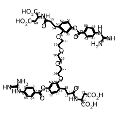 N=C(N)Nc1ccc(C(=O)Oc2ccc(CCC(=O)NC(CC(=O)O)C(=O)O)c(OCCOCCOCCOc3cc(OC(=O)c4ccc(NC(=N)N)cc4)ccc3CCC(=O)NC(CC(=O)O)C(=O)O)c2)cc1